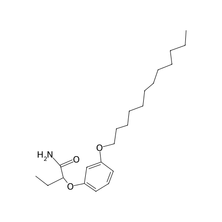 CCCCCCCCCCCCOc1cccc(OC(CC)C(N)=O)c1